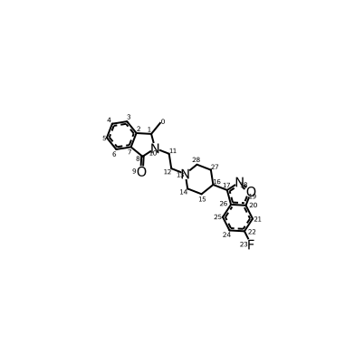 CC1c2ccccc2C(=O)N1CCN1CCC(c2noc3cc(F)ccc23)CC1